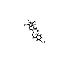 Cn1c2c(c(=O)n1C)CC1C3CCc4cc(O)ccc4C3CC[C@]21C